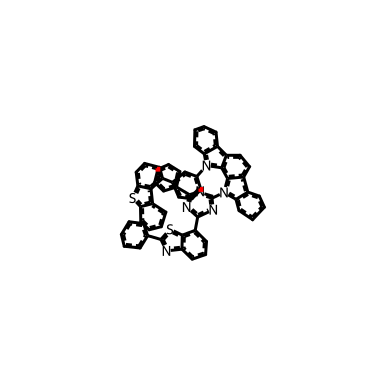 c1ccc(-c2nc(-c3cccc4nc(-c5ccccc5)sc34)nc(-n3c4ccccc4c4ccc5c6ccccc6n(-c6cccc(-c7cccc8sc9ccccc9c78)c6)c5c43)n2)cc1